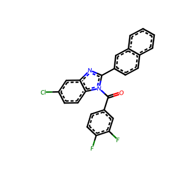 O=C(c1ccc(F)c(F)c1)n1c(-c2ccc3ccccc3c2)nc2cc(Cl)ccc21